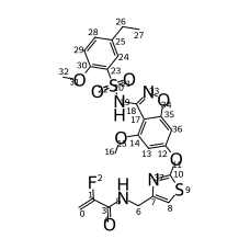 C=C(F)C(=O)NCc1csc(Oc2cc(OC)c3c(NS(=O)(=O)c4cc(CC)ccc4OC)noc3c2)n1